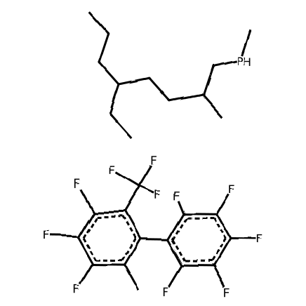 CCCC(CC)CCC(C)CPC.Cc1c(F)c(F)c(F)c(C(F)(F)F)c1-c1c(F)c(F)c(F)c(F)c1F